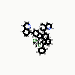 C[SiH](C)[Zr]([Cl])([Cl])([CH]1C(c2ccccc2)=Cc2ccc(-c3cccc4cccnc34)cc21)[CH]1C(c2ccccc2)=Cc2ccc(-c3cccc4cccnc34)cc21